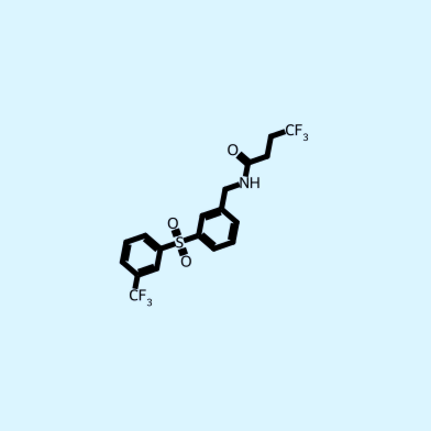 O=C(CCC(F)(F)F)NCc1cccc(S(=O)(=O)c2cccc(C(F)(F)F)c2)c1